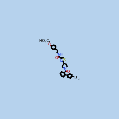 O=C(O)COc1ccc(CCNC(=O)c2csc(C3CCN(C(=O)c4ccccc4-c4ccc(C(F)(F)F)cc4)CC3)n2)cc1